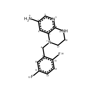 Nc1cnc2c(c1)N(Cc1cc(F)ccc1F)CCN2